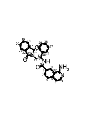 Nc1nccc2ccc(C(=O)N[C@@H](CN3C(=O)c4ccccc4C3=O)c3ccccc3)cc12